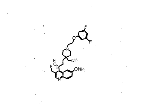 COc1ccc2ncc(CF)c([C@@H](O)CCC3(CO)CCN(CCOc4cc(F)cc(F)c4)CC3)c2c1